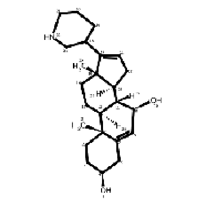 C[C@]12CC[C@H](O)CC1=C[C@H](O)[C@@H]1[C@@H]2CC[C@]2(C)C(C3CCCNC3)=CC[C@@H]12